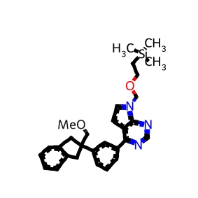 COCC1(c2cccc(-c3ncnc4c3ccn4COCC[Si](C)(C)C)c2)Cc2ccccc2C1